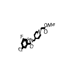 COC(=O)CN1CCC(CNC(=O)c2cc(F)cc(Cl)c2)CC1